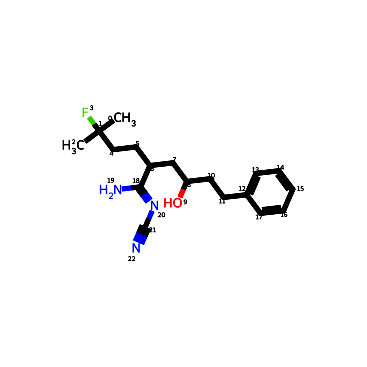 CC(C)(F)CCC(CC(O)[CH]Cc1ccccc1)C(N)=NC#N